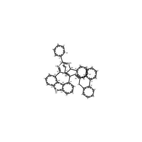 C=C/C=C(\C=C1/Cc2ccccc2-c2ccccc21)c1cccc2oc3cccc(C4=NC(c5ccccc5)=NC(c5ccccc5)N4)c3c12